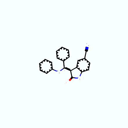 N#Cc1ccc2c(c1)/C(=C(/Nc1ccccc1)c1ccccc1)C(=O)N2